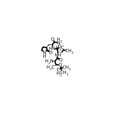 CC(C)C[C@H](NC(=O)[C@@H](N)[C@@H](C)OC(C)(C)C)C(=O)N[C@@H](C[C@@H]1CCNC1=O)C(N)=O